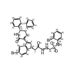 O=C(Cn1cc(C2=N[C@@H](c3ccccc3)[C@H](c3ccccc3)NC2=O)c2cc(Br)ccc21)NNCS(=O)(=O)Nc1ccccc1Br